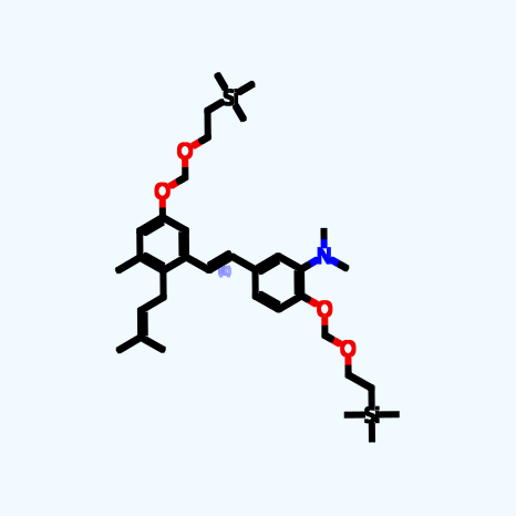 CC(C)=CCc1c(C)cc(OCOCC[Si](C)(C)C)cc1/C=C/c1ccc(OCOCC[Si](C)(C)C)c(N(C)C)c1